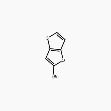 CC(C)(C)c1cc2sccc2o1